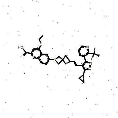 CCOc1cc(C(=O)O)nc2ccc(N3CC4(CC(/C=C/c5c(-c6cccnc6C(F)(F)F)noc5C5CC5)C4)C3)cc12